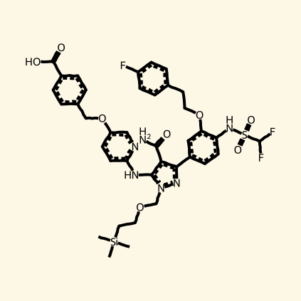 C[Si](C)(C)CCOCn1nc(-c2ccc(NS(=O)(=O)C(F)F)c(OCCc3ccc(F)cc3)c2)c(C(N)=O)c1Nc1ccc(OCc2ccc(C(=O)O)cc2)cn1